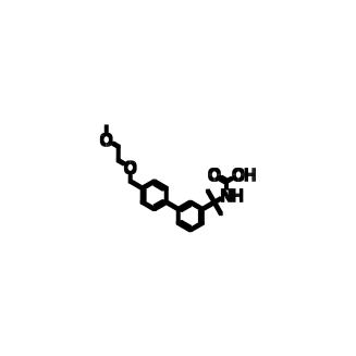 COCCOCc1ccc(-c2cccc(C(C)(C)NC(=O)O)c2)cc1